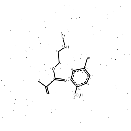 C=C(C)C(=O)OCCNCC.Cc1ccc(S(=O)(=O)O)cc1